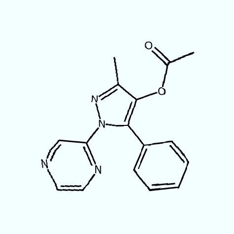 CC(=O)Oc1c(C)nn(-c2cnccn2)c1-c1ccccc1